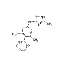 Cc1cc(Nc2n[nH]c(N)n2)cc(C)c1C1=NCCCN1